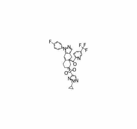 O=C(c1ccc(C(F)(F)F)cn1)[C@]12Cc3cnn(-c4ccc(F)cc4)c3C=C1CC[C@H](S(=O)(=O)c1cnn(C3CC3)n1)C2